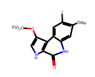 CCOC(=O)Oc1c[nH]c2c(=O)[nH]c3cc(OC)c(I)cc3c12